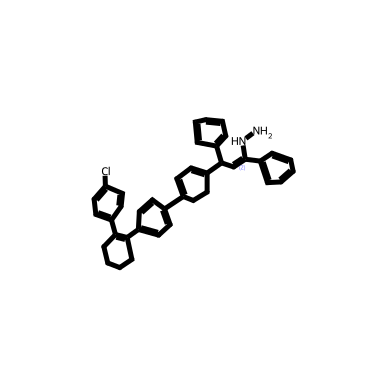 NN/C(=C\C(C1=CC=C(c2ccc(C3=C(c4ccc(Cl)cc4)CCCC3)cc2)CC1)c1ccccc1)c1ccccc1